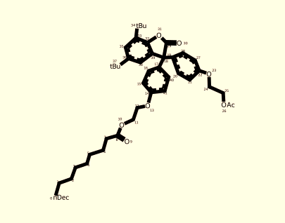 CCCCCCCCCCCCCCCCCC(=O)OCCOc1ccc(C2(c3ccc(OCCOC(C)=O)cc3)C(=O)Oc3c(C(C)(C)C)cc(C(C)(C)C)cc32)cc1